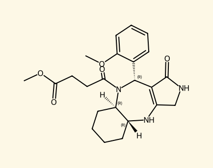 COC(=O)CCC(=O)N1[C@@H]2CCCC[C@H]2NC2=C(C(=O)NC2)[C@H]1c1ccccc1OC